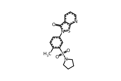 Cc1ccc(-n2sc3ncccc3c2=O)cc1S(=O)(=O)N1CCCC1